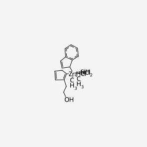 Cl.Cl.[CH3][Zr]([CH3])(=[SiH2])([C]1=C(CCO)C=CC1)[CH]1C=Cc2ccccc21